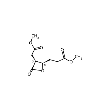 COC(=O)CC[C@H]1OC(=O)[C@H]1CC(=O)OC